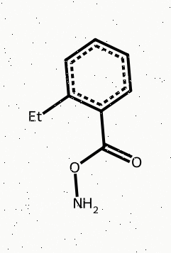 CCc1ccccc1C(=O)ON